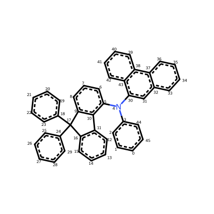 c1ccc(N(c2cccc3c2-c2ccccc2C3(c2ccccc2)c2ccccc2)c2cc3ccccc3c3ccccc23)cc1